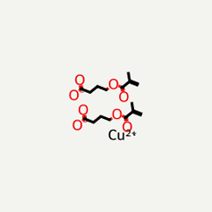 C=C(C)C(=O)OCCCC(=O)[O-].C=C(C)C(=O)OCCCC(=O)[O-].[Cu+2]